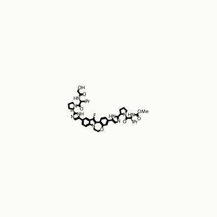 COC(=O)N[C@H](C(=O)N1CCCC1c1ncc(-c2ccc3c(c2)OCCn2c-3c(F)c3cc(-c4cnc([C@H]5CCCN5C(=O)C(NC(=O)CO)C(C)C)[nH]4)ccc32)[nH]1)C(C)C